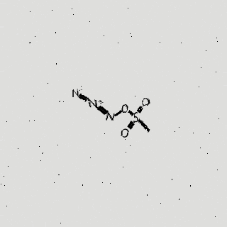 CS(=O)(=O)ON=[N+]=[N-]